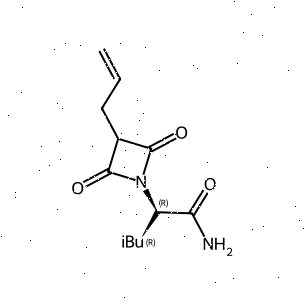 C=CCC1C(=O)N([C@@H](C(N)=O)[C@H](C)CC)C1=O